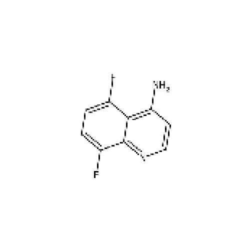 Nc1ccnc2c(F)ccc(F)c12